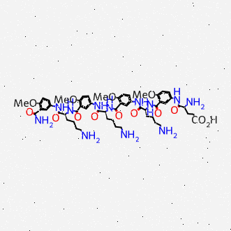 COc1ccc(NC(=O)[C@H](CCCCN)NC(=O)c2cc(NC(=O)[C@H](CCCCN)NC(=O)c3cc(NC(=O)[C@H](CCCCN)NC(=O)c4cc(NC(=O)[C@@H](N)CCC(=O)O)ccc4OC)ccc3OC)ccc2OC)cc1C(N)=O